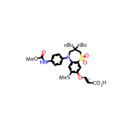 CCCCC1(CCCC)CN(c2ccc(NC(=O)OC)cc2)c2cc(SC)c(O/C=C/C(=O)O)cc2S(=O)(=O)C1